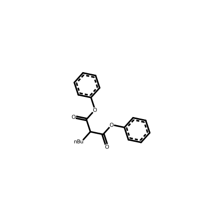 CCCCC(C(=O)Oc1ccccc1)C(=O)Oc1ccccc1